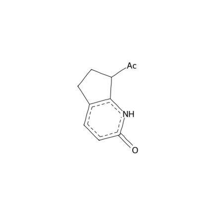 CC(=O)C1CCc2ccc(=O)[nH]c21